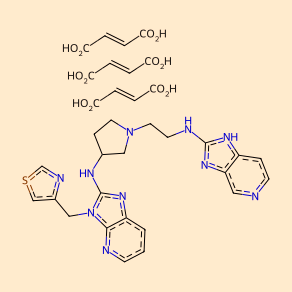 O=C(O)C=CC(=O)O.O=C(O)C=CC(=O)O.O=C(O)C=CC(=O)O.c1cnc2c(c1)nc(NC1CCN(CCNc3nc4cnccc4[nH]3)C1)n2Cc1cscn1